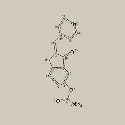 NC(=O)Oc1ccc2c(c1)C(=O)C(=Cc1ccncc1)C2